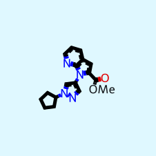 COC(=O)c1cc2cccnc2n1-c1cnn(C2CCCC2)c1